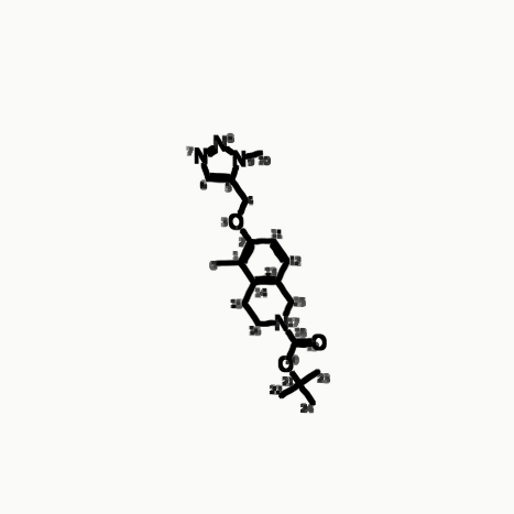 Cc1c(OCc2cnnn2C)ccc2c1CCN(C(=O)OC(C)(C)C)C2